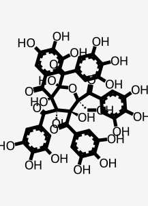 O=C(c1cc(O)c(O)c(O)c1)[C@@]1(O)[C@](O)(C(=O)c2cc(O)c(O)c(O)c2)[C@](O)(C(=O)c2cc(O)c(O)c(O)c2)O[C@@](CO)(C(=O)c2cc(O)c(O)c(O)c2)[C@]1(O)C(=O)c1cc(O)c(O)c(O)c1